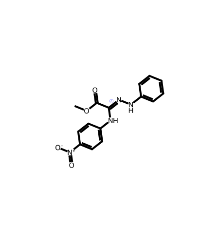 COC(=O)/C(=N/Nc1ccccc1)Nc1ccc([N+](=O)[O-])cc1